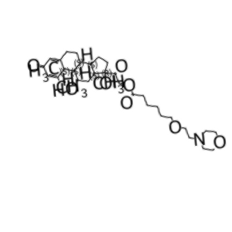 CC1=CC(=O)C=C2CC[C@@H]3[C@H](C(O)C[C@@]4(C)[C@H]3CC[C@]4(O)C(=O)COC(=O)CCCCCOCCN3CCOCC3)[C@@]12C